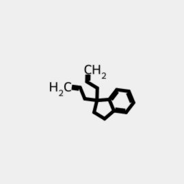 C=CCC1(CC=C)CCc2ccccc21